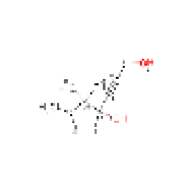 CC1CCC(O)(C#CCO)C1(C)C